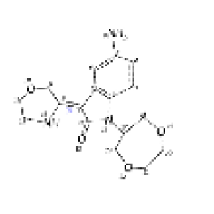 Nc1ccc2c(c1)/C(=C1\COCCN1)C(=O)N2C1COCCOC1